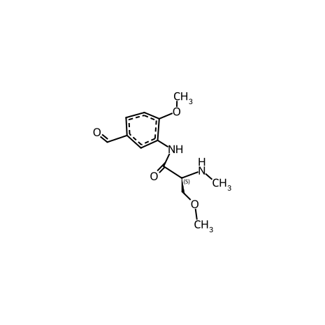 CN[C@@H](COC)C(=O)Nc1cc(C=O)ccc1OC